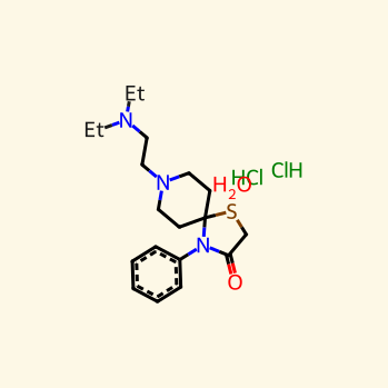 CCN(CC)CCN1CCC2(CC1)SCC(=O)N2c1ccccc1.Cl.Cl.O